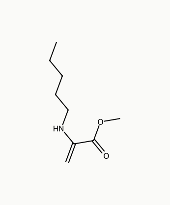 C=C(NCCCCC)C(=O)OC